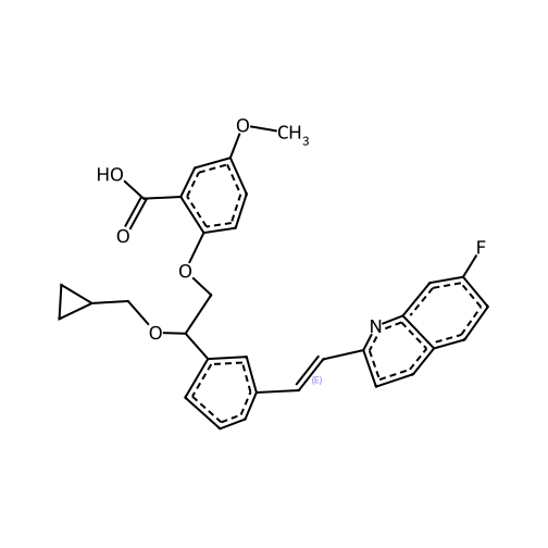 COc1ccc(OCC(OCC2CC2)c2cccc(/C=C/c3ccc4ccc(F)cc4n3)c2)c(C(=O)O)c1